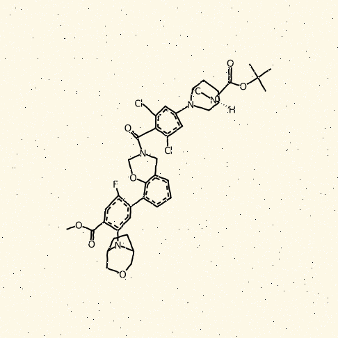 COC(=O)c1cc(F)c(-c2cccc3c2OCN(C(=O)c2c(Cl)cc(N4C[C@@H]5CCC4CN5C(=O)OC(C)(C)C)cc2Cl)C3)cc1N1C2CCC1COC2